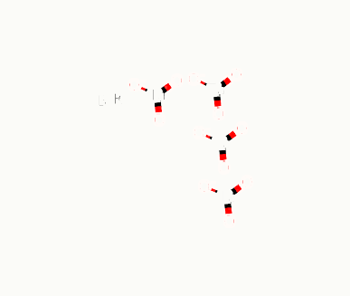 [Bi+3].[K+].[O]=[Ta](=[O])[O-].[O]=[Ta](=[O])[O-].[O]=[Ta](=[O])[O-].[O]=[Ta](=[O])[O-]